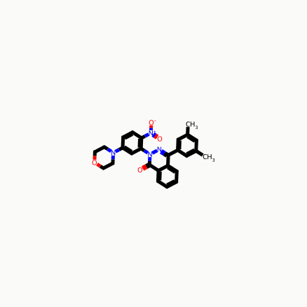 Cc1cc(C)cc(-c2nn(-c3cc(N4CCOCC4)ccc3[N+](=O)[O-])c(=O)c3ccccc23)c1